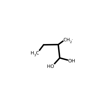 [CH2]C(CC)C(O)O